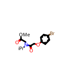 COC(=O)CN(C(=O)COc1ccc(Br)cc1)C(C)C